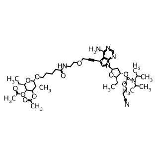 CC[C@H]1O[C@@H](OCCCCC(=O)NCCOCC#Cc2cn([C@H]3C[C@H](OP(OCCC#N)N(C(C)C)C(C)C)[C@@H](CC)O3)c3ncnc(N)c23)[C@H](C)[C@@H](OC(C)=O)[C@H]1OC(C)=O